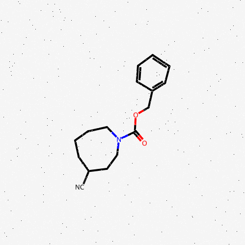 N#CC1CCCCN(C(=O)OCc2ccccc2)CC1